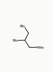 CNCC(CC(C)(C)C)C(C)(C)C